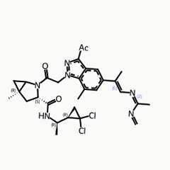 C=N/C(C)=N\C=C(/C)c1cc(C)c2c(c1)c(C(C)=O)nn2CC(=O)N1C2C[C@]2(C)C[C@H]1C(=O)N[C@H](C)[C@H]1CC1(Cl)Cl